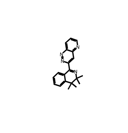 CC1(C)N=C(c2cc3ncccc3nn2)c2ccccc2C1(C)C